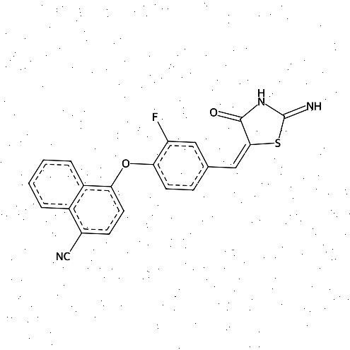 N#Cc1ccc(Oc2ccc(/C=C3/SC(=N)NC3=O)cc2F)c2ccccc12